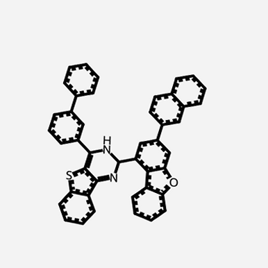 c1ccc(-c2cccc(C3=c4sc5ccccc5c4=NC(c4cc(-c5ccc6ccccc6c5)cc5oc6ccccc6c45)N3)c2)cc1